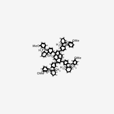 COc1cccc(N2c3ccc(-c4cc(-c5ccc6c(c5)C5(C)CCCCC5(C)N6c5cccc(OC)c5)c5ccc6c(-c7ccc8c(c7)C7(C)CCCCC7(C)N8c7cccc(OC)c7)cc(-c7ccc8c(c7)C7(C)CCCCC7(C)N8c7cccc(OC)c7)c7ccc4c5c76)cc3C3(C)CCCCC23C)c1